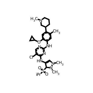 Cc1cc(Nc2ncc(Cl)c(NC3=CN(C)N(C)C3S(=O)(=O)C(C)C)n2)c(OC2CC2)cc1C1CCCN(C)C1